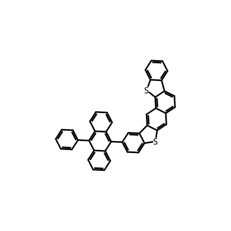 c1ccc(-c2c3ccccc3c(-c3ccc4sc5cc6ccc7c8ccccc8sc7c6cc5c4c3)c3ccccc23)cc1